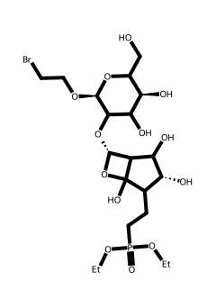 CCOP(=O)(CCC1[C@@H](O)C(O)C2[C@@H](OC3C(O)[C@H](O)C(CO)O[C@@H]3OCCBr)OC21O)OCC